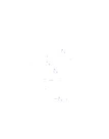 O=C1CC2(CCNCC2)N(Cc2ccccn2)N1